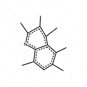 Cc1[c]c(C)c2nc(C)c(C)c(C)c2c1C